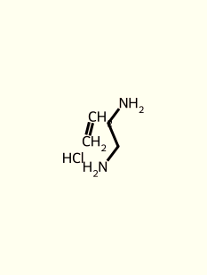 C=C.Cl.NCCN